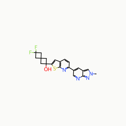 Cn1cc2cc(-c3ccc4cc(C5(O)CC6(CC(F)(F)C6)C5)sc4n3)cnc2n1